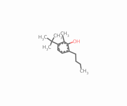 CCCCc1ccc(C(C)(C)C)c(C)c1O